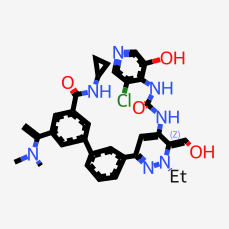 C=C(c1cc(C(=O)NC2CC2)cc(-c2cccc(C3=NN(CC)/C(=C\O)C(NC(=O)Nc4c(O)cncc4Cl)=C3)c2)c1)N(C)C